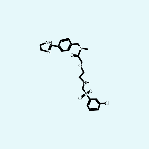 CN(Cc1ccc(C2=NCCN2)cc1)C(=O)COCCNCS(=O)(=O)c1cccc(Cl)c1